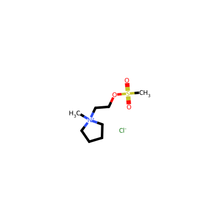 C[N+]1(CCOS(C)(=O)=O)CCCC1.[Cl-]